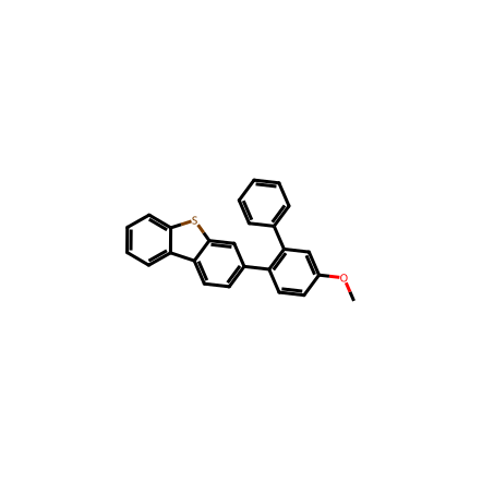 COc1ccc(-c2ccc3c(c2)sc2ccccc23)c(-c2ccccc2)c1